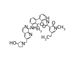 C=Cc1cc(C(=O)Nc2cccc(-c3cccc(Nc4nccc5cc(CN6CC[C@@H](O)C6)cnc45)c3C)c2Cl)c(=O)n(C)c1